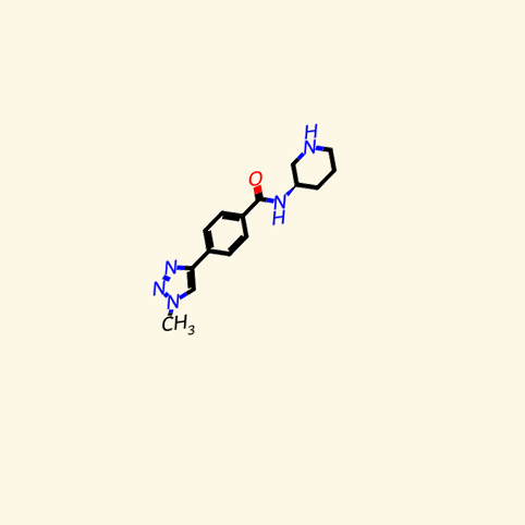 Cn1cc(-c2ccc(C(=O)N[C@@H]3CCCNC3)cc2)nn1